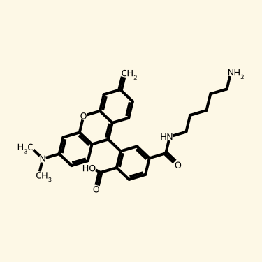 C=c1ccc2c(c1)Oc1cc(N(C)C)ccc1C=2c1cc(C(=O)NCCCCCN)ccc1C(=O)O